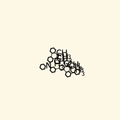 CC1(C)c2ccccc2-c2ccc(N(c3ccccc3)c3cccc(-c4ccc5c(c4)-c4cccc(-c6ccccc6)c4C(C)(C)C5(C)C)c3)cc2C1(C)C